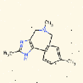 Cc1ccc2c(c1)CN(C)Cc1nc(C)[nH]c1-2